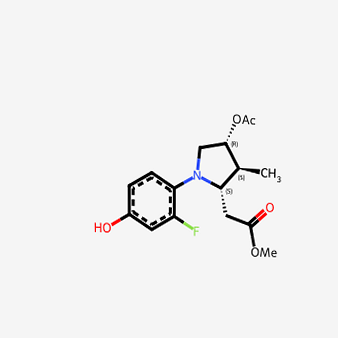 COC(=O)C[C@H]1[C@H](C)[C@@H](OC(C)=O)CN1c1ccc(O)cc1F